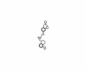 COc1cccc2c1CCCC2CN(C)CCSc1ccc2c(c1)OCC(=O)C2